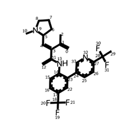 C=C(C)/C(=C\C1CCCN1C)C(=C)Nc1ccc(C(F)(F)F)cc1-c1ccc(C(C)(F)F)nc1